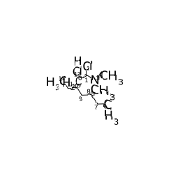 C=C(Cl)N(C)C.CCCCCCC.Cl